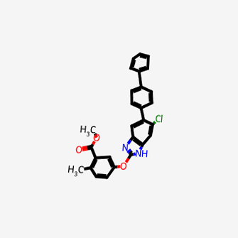 COC(=O)c1cc(Oc2nc3cc(-c4ccc(-c5ccccc5)cc4)c(Cl)cc3[nH]2)ccc1C